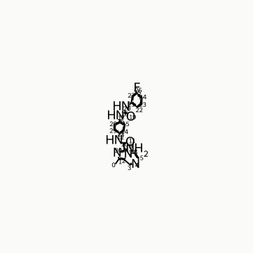 CC1=C2C=NC=C[N+]2(N)C(C(=O)Nc2ccc(NC(=O)Nc3cccc(F)c3)cc2)=N1